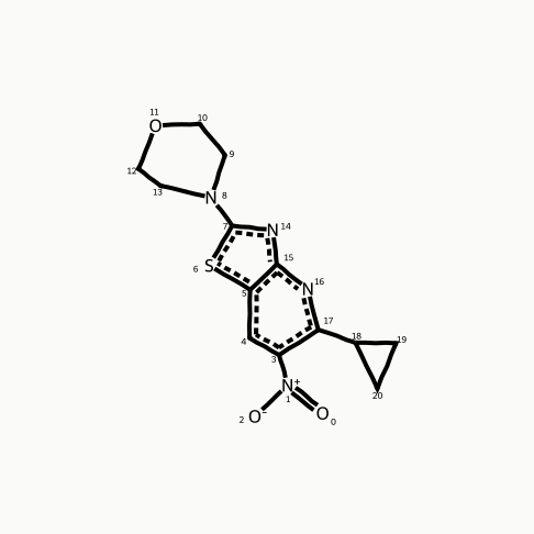 O=[N+]([O-])c1cc2sc(N3CCOCC3)nc2nc1C1CC1